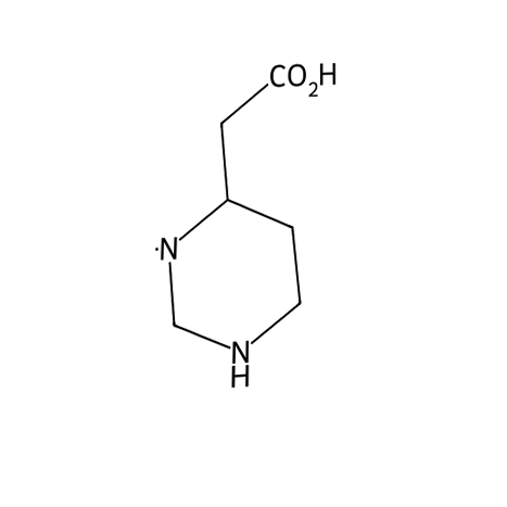 O=C(O)CC1CCNC[N]1